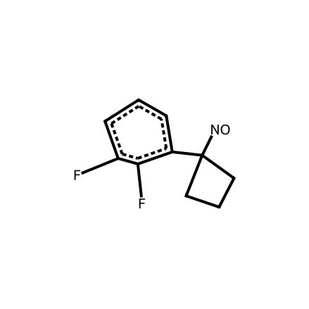 O=NC1(c2cccc(F)c2F)CCC1